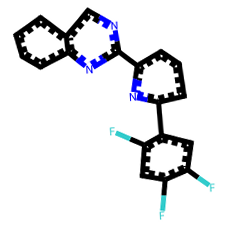 Fc1cc(F)c(-c2cccc(-c3ncc4ccccc4n3)n2)cc1F